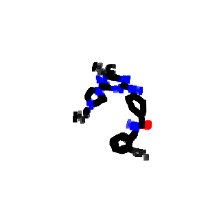 Cc1nc(NC2CCC(C(=O)NCc3ccccc3C(F)(F)F)CC2)nc(N2CCN(C)CC2)n1